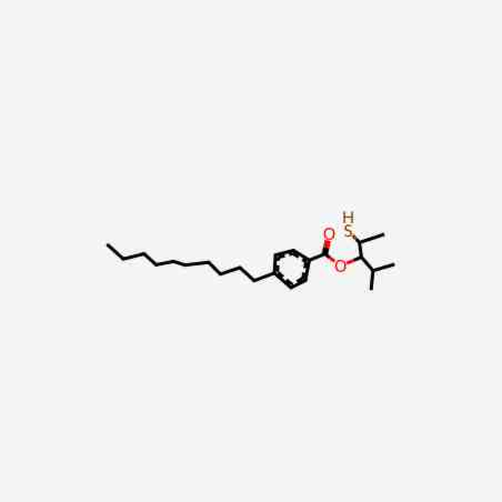 CCCCCCCCCCc1ccc(C(=O)OC(C(C)C)C(C)S)cc1